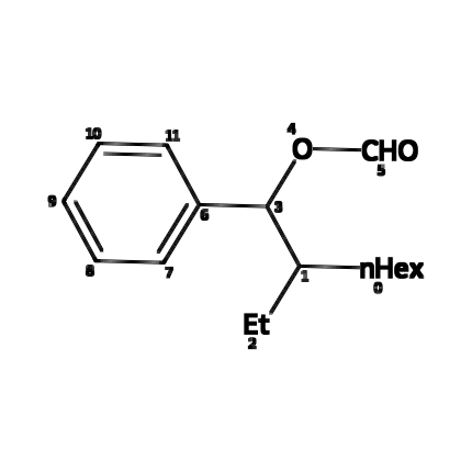 CCCCCCC(CC)C(OC=O)c1ccccc1